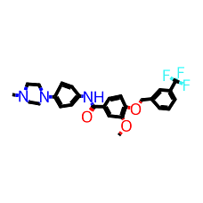 COc1cc(C(=O)Nc2ccc(N3CCN(C)CC3)cc2)ccc1OCc1cccc(C(F)(F)F)c1